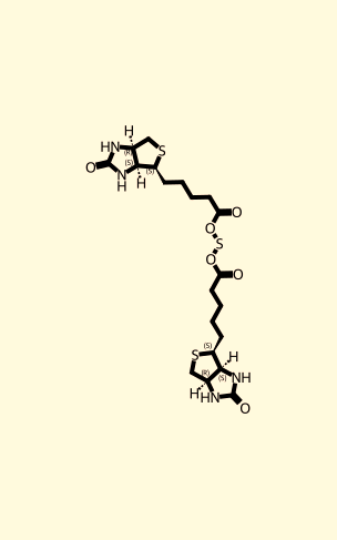 O=C1N[C@H]2[C@H](CS[C@H]2CCCCC(=O)OSOC(=O)CCCC[C@@H]2SC[C@@H]3NC(=O)N[C@@H]32)N1